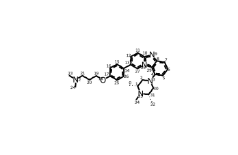 C[C@@H]1CN(c2cccc3nc4ccc(-c5ccc(OCCCN(C)C)cc5)cn4c23)C[C@H](C)N1C